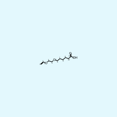 C=COCCOCCCCCC(=O)O